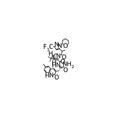 Cc1ccc2[nH]c(=O)c(C[C@H](NC(=O)[C@@H]3[C@@H]4[C@H](CN3C(=O)C(C)c3cc(C(F)(F)F)nn3C3CCCCO3)C4(C)C)C(N)=O)cc2c1